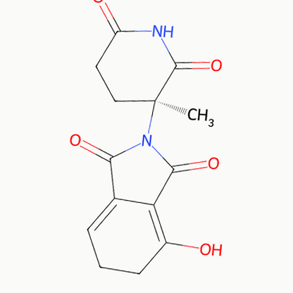 C[C@]1(N2C(=O)C3=CCCC(O)=C3C2=O)CCC(=O)NC1=O